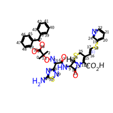 CC(C)(O/N=C(/C(=O)NC1C(=O)N2C(C(=O)O)=C(/C=C/Sc3cccnc3)CS[C@H]12)c1nsc(N)n1)C(=O)OC(c1ccccc1)c1ccccc1